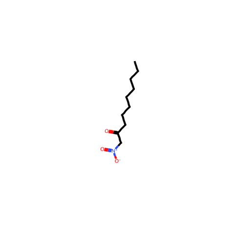 CCCCCCCCC(=O)C[N+](=O)[O-]